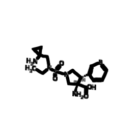 CCN(CC1(N)CC1)S(=O)(=O)N1C[C@H](c2cbccc2)[C@](N)(C(=O)O)C1